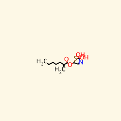 C=C(CCCCC)C(=O)OC1C=NC(O)(O)S1